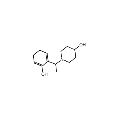 CC(C1=CCCC=C1O)N1CCC(O)CC1